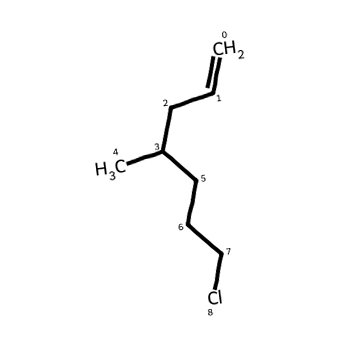 C=CCC(C)CCCCl